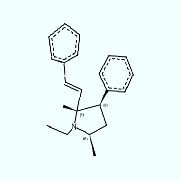 CCN1[C@H](C)C[C@H](c2ccccc2)[C@@]1(C)C=Cc1ccccc1